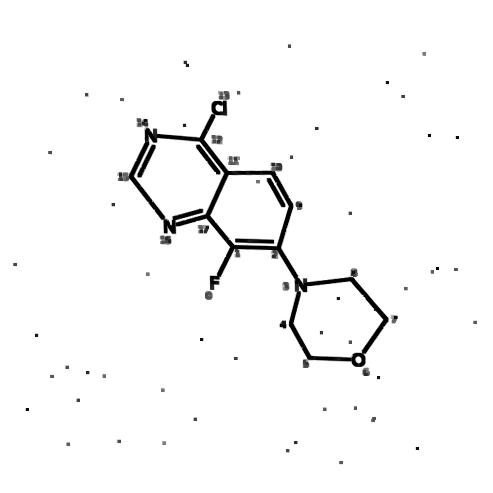 Fc1c(N2CCOCC2)ccc2c(Cl)ncnc12